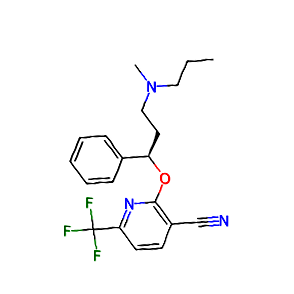 CCCN(C)CC[C@@H](Oc1nc(C(F)(F)F)ccc1C#N)c1ccccc1